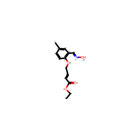 CCOC(=O)/C=C/COc1ccc(C)cc1/C=N/O